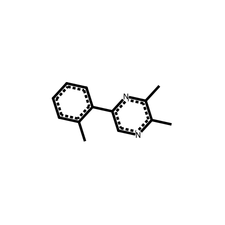 Cc1ccccc1-c1cnc(C)c(C)n1